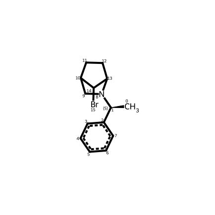 C[C@@H](c1ccccc1)N1CC2CCC1C2Br